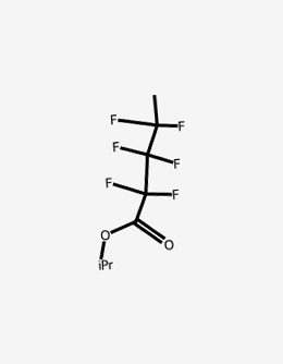 CC(C)OC(=O)C(F)(F)C(F)(F)C(C)(F)F